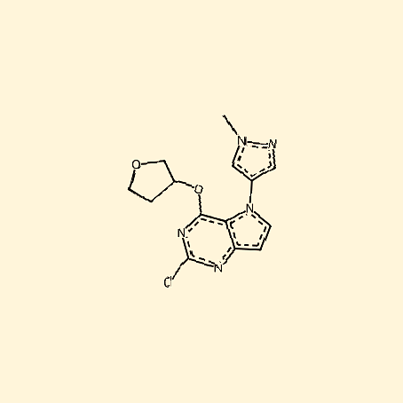 Cn1cc(-n2ccc3nc(Cl)nc(OC4CCOC4)c32)cn1